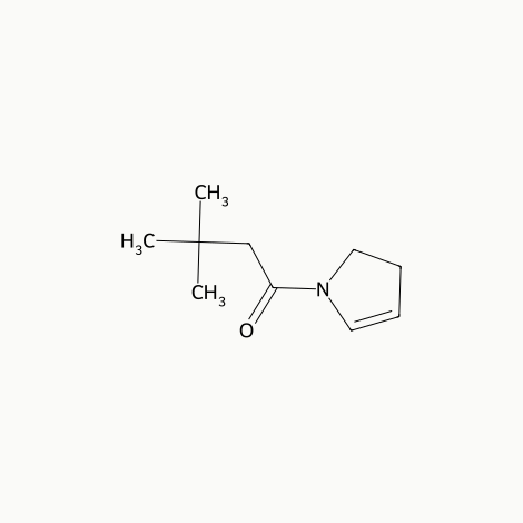 CC(C)(C)CC(=O)N1C=CCC1